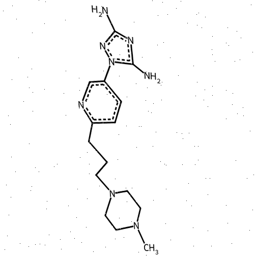 CN1CCN(CCCc2ccc(-n3nc(N)nc3N)cn2)CC1